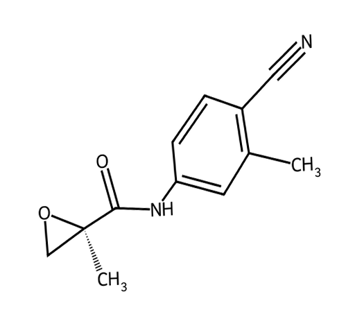 Cc1cc(NC(=O)[C@@]2(C)CO2)ccc1C#N